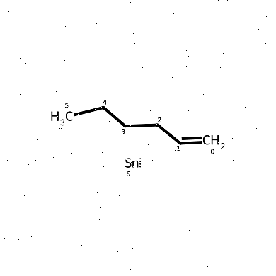 C=CCCCC.[Sn]